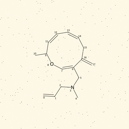 C=CCN(C)C/C1=C/OC(C)/C=C\C=C/CC1=C